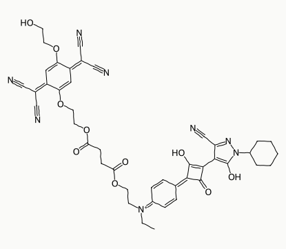 CC[N+](CCOC(=O)CCC(=O)OCCOc1cc(=C(C#N)C#N)c(OCCO)cc1=C(C#N)C#N)=C1C=CC(=C2C(=O)C(c3c(C#N)nn(C4CCCCC4)c3O)=C2O)C=C1